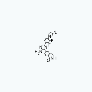 CN(C)C1CCN(c2ccc(-c3cnc(N)c(-c4ccc5c(c4)CCNC5=O)n3)c(F)c2F)C1